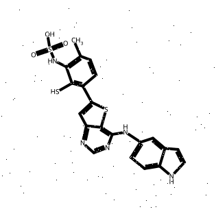 Cc1ccc(-c2cc3ncnc(Nc4ccc5[nH]ccc5c4)c3s2)c(S)c1NS(=O)(=O)O